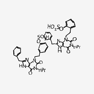 CCCn1c(=O)c2[nH]c(Cc3ccccc3)nc2n(CCc2cccc(OS(=O)(=O)O)c2)c1=O.CCCn1c(=O)c2[nH]c(Cc3ccccc3)nc2n(CCc2ccccc2OS(=O)(=O)O)c1=O